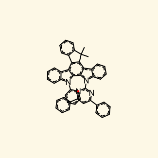 CC1(C)c2ccccc2-c2c1c1c3ccccc3n(-c3nc(-c4ccccc4)cc(-c4ccccc4)n3)c1c1c2c2ccccc2n1-c1ccccc1